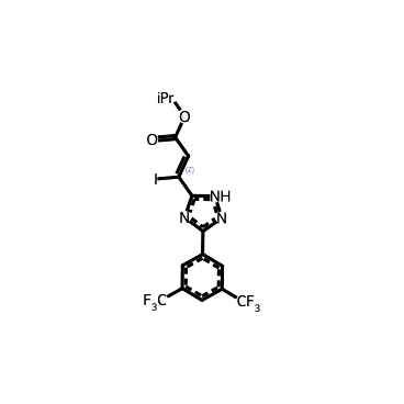 CC(C)OC(=O)/C=C(\I)c1nc(-c2cc(C(F)(F)F)cc(C(F)(F)F)c2)n[nH]1